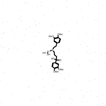 CCO.COc1ccc(CCN(C)CCCC(C#N)(c2ccc(OC)c(OC)c2)C(C)C)cc1OC.Cl